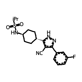 CC(C)S(=O)(=O)N[C@H]1CC[C@H](c2[nH]nc(-c3cccc(F)c3)c2C#N)CC1